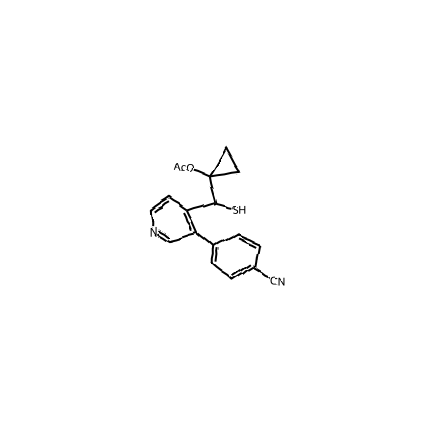 CC(=O)OC1(C(S)c2ccncc2-c2ccc(C#N)cc2)CC1